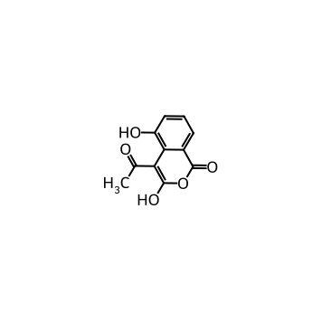 CC(=O)c1c(O)oc(=O)c2cccc(O)c12